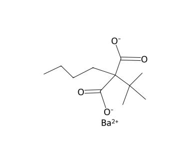 CCCCC(C(=O)[O-])(C(=O)[O-])C(C)(C)C.[Ba+2]